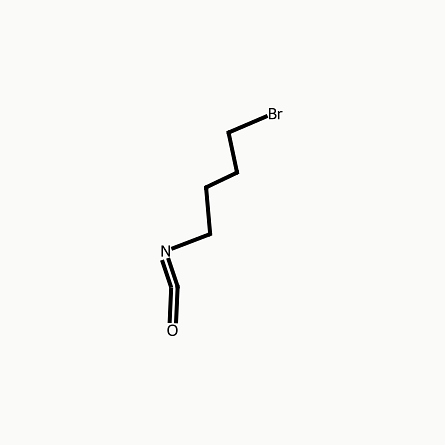 O=C=NCCCCBr